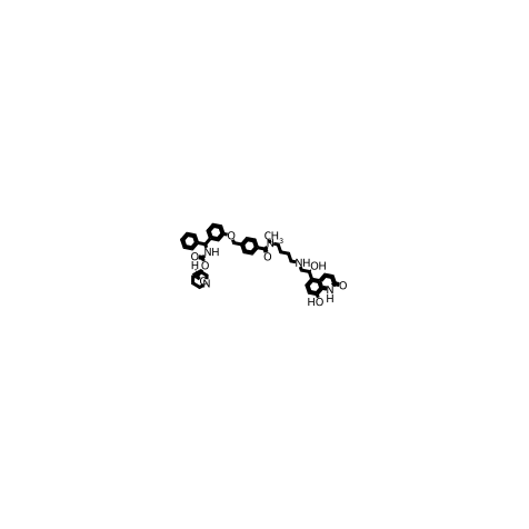 CN(CCCCNC[C@H](O)c1ccc(O)c2[nH]c(=O)ccc12)C(=O)c1ccc(COc2cccc(C(NC(=O)O[C@H]3CN4CCC3CC4)c3ccccc3)c2)cc1